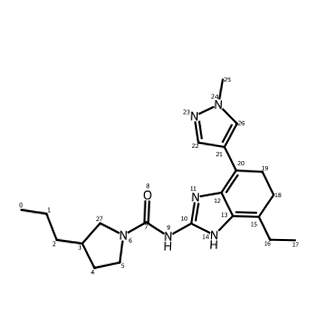 CCCC1CCN(C(=O)Nc2nc3c([nH]2)=C(CC)CCC=3c2cnn(C)c2)C1